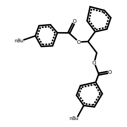 CCCCc1ccc(C(=O)OCC(OC(=O)c2ccc(CCCC)cc2)c2ccccc2)cc1